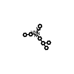 c1ccc(-c2ccc(C3=NC(c4ccc(-c5ccc(-c6ccccc6)c(-c6ccccc6)c5)cc4)=NC(c4cc5ccccc5s4)N3)cc2)cc1